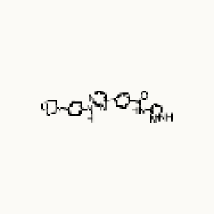 O=C(Nc1cc[nH]n1)c1ccc(-c2ccnc(Nc3ccc(N4CCOCC4)cc3)n2)cc1